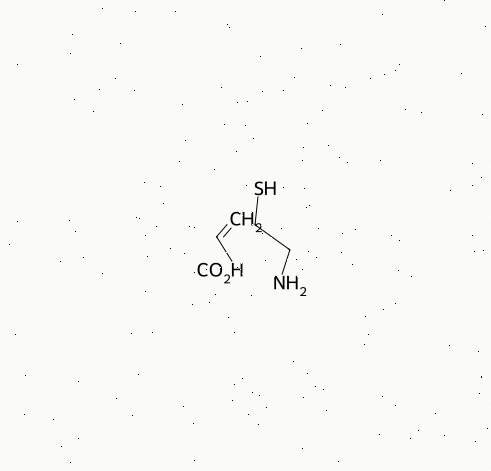 C=CC(=O)O.NCCS